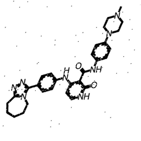 CN1CCN(c2ccc(NC(=O)c3c(Nc4ccc(-c5nnc6n5CCCCC6)cc4)cc[nH]c3=O)cc2)CC1